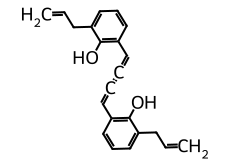 C=CCc1cccc(C=C=C=Cc2cccc(CC=C)c2O)c1O